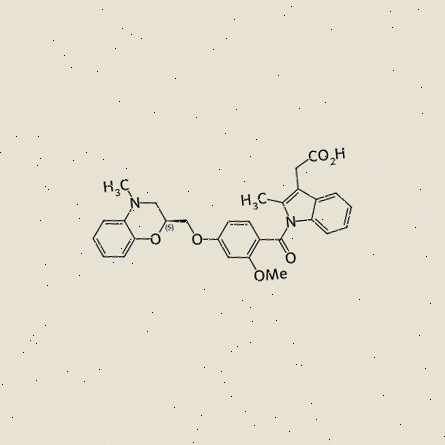 COc1cc(OC[C@@H]2CN(C)c3ccccc3O2)ccc1C(=O)n1c(C)c(CC(=O)O)c2ccccc21